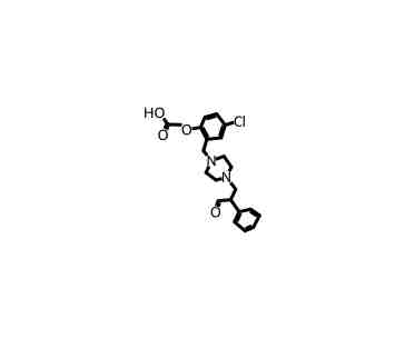 O=CC(CN1CCN(Cc2cc(Cl)ccc2OCC(=O)O)CC1)c1ccccc1